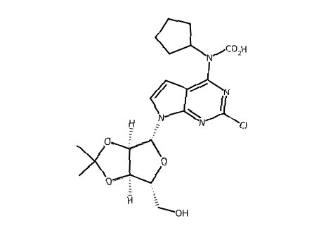 CC1(C)O[C@@H]2[C@H](O1)[C@@H](CO)O[C@H]2n1ccc2c(N(C(=O)O)C3CCCC3)nc(Cl)nc21